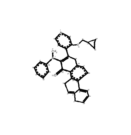 CN(C1=C(c2ccncc2OCC2CC2)Cc2ccc3c(c2C1=O)CC=C1CC=CC=C13)c1ccccc1